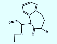 CCOC(C=O)N1C(=O)C(Br)CCc2ccccc21